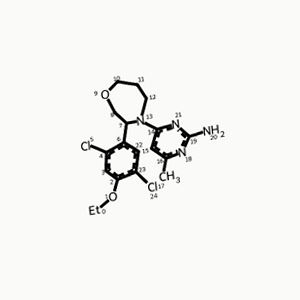 CCOc1cc(Cl)c(C2COCCCN2c2cc(C)nc(N)n2)cc1Cl